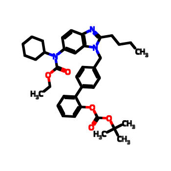 CCCCc1nc2ccc(N(C(=O)OCC)C3CCCCC3)cc2n1Cc1ccc(-c2ccccc2OC(=O)OC(C)(C)C)cc1